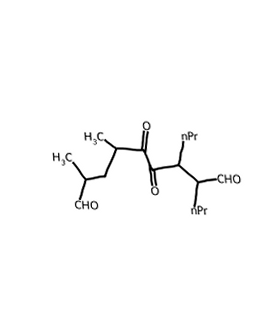 CCCC(C=O)C(CCC)C(=O)C(=O)C(C)CC(C)C=O